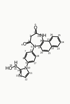 O=C1CC(=O)N(c2ccc(-n3ccnc3BO)cc2)c2ccc3ccccc3c2N1